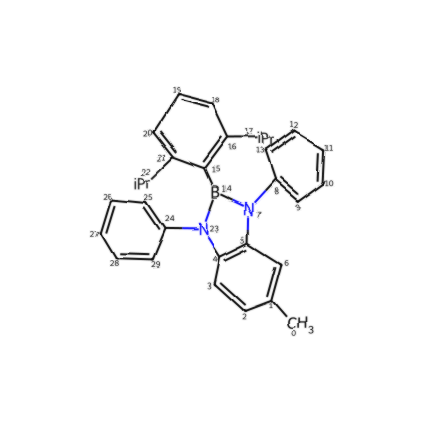 Cc1ccc2c(c1)N(c1ccccc1)B(c1c(C(C)C)cccc1C(C)C)N2c1ccccc1